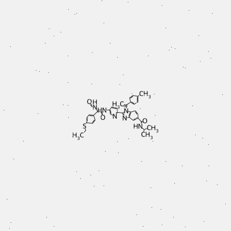 CCSc1ccc(C(NC=O)C(=O)Nc2ccc(-c3nc4cc(C(=O)NC(C)C)ccc4n3[C@H](C)c3ccc(C)cc3)nc2)cc1